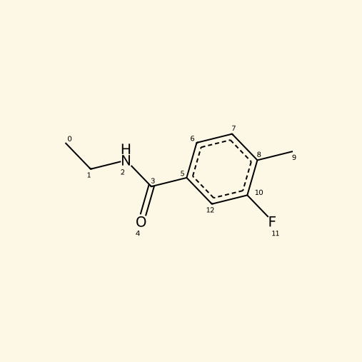 CCNC(=O)c1ccc(C)c(F)c1